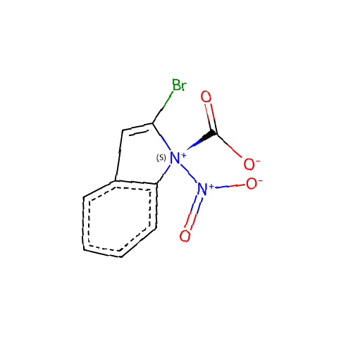 O=C([O-])[N@+]1([N+](=O)[O-])C(Br)=Cc2ccccc21